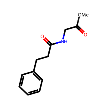 COC(=O)CNC(=O)CCc1ccccc1